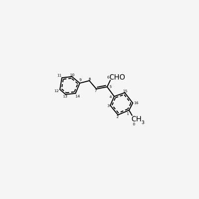 Cc1ccc(C(C=O)=CCc2ccccc2)cc1